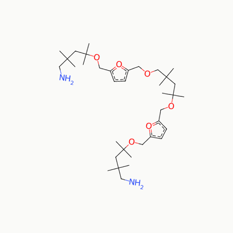 CC(C)(CN)CC(C)(C)OCc1ccc(COCC(C)(C)CC(C)(C)OCc2ccc(COC(C)(C)CC(C)(C)CN)o2)o1